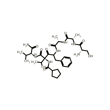 CC(C)[C@H](NC(=O)[C@](NC(=O)C1CCCC1)(C(=O)C(Cc1ccccc1)NC(=O)[C@H](C)NC(=O)[C@H](C)NC(=O)[C@@H](N)CO)C(C)C)C(N)=O